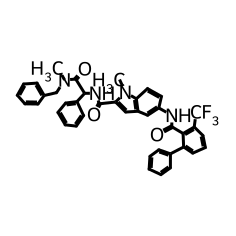 CN(Cc1ccccc1)C(=O)C(NC(=O)c1cc2cc(NC(=O)c3c(-c4ccccc4)cccc3C(F)(F)F)ccc2n1C)c1ccccc1